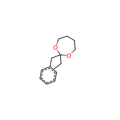 CCC1(Cc2ccccc2)OCCCCO1